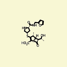 C[C@@H](O)[C@H]1C(=O)N2C(C(=O)O)=C(S[C@@H]3CN[C@H](C(=O)NCc4ccco4)C3)[C@H](C)[C@H]12